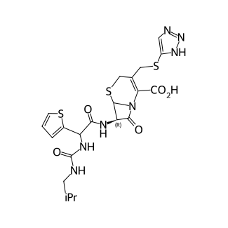 CC(C)CNC(=O)NC(C(=O)N[C@@H]1C(=O)N2C(C(=O)O)=C(CSc3cnn[nH]3)CSC12)c1cccs1